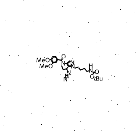 COc1ccc(C(=O)N2CCC(N=[N+]=[N-])c3c2cnn3CCCCCNC(=O)OC(C)(C)C)cc1OC